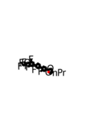 CCCC1COC(c2ccc(-c3ccc(-c4cc(F)c(OC(F)(F)C=C(F)F)c(F)c4)c(F)c3)c(F)c2)OC1